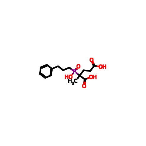 CC(CCC(=O)O)(C(=O)O)P(=O)(O)CCCc1ccccc1